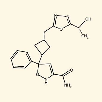 C[C@@H](O)c1nnc(CC2CC(C3(c4ccccc4)C=C(C(N)=O)NO3)C2)o1